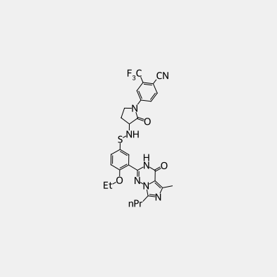 CCCc1nc(C)c2c(=O)[nH]c(-c3cc(SNC4CCN(c5ccc(C#N)c(C(F)(F)F)c5)C4=O)ccc3OCC)nn12